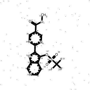 COC(=O)c1cnc(-c2oc3cnccc3c2OS(=O)(=O)C(F)(F)F)nc1